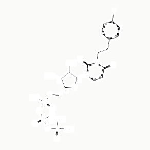 O=c1ccn([C@@H]2O[C@H](COP(=O)(O)OP(=O)(O)OP(=O)(O)O)[C@H](O)C2O)c(=O)n1CCc1ccc(F)cc1